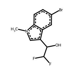 Cn1cc(C(O)C(F)F)c2cc(Br)ccc21